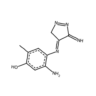 Cc1cc(N=C2CN=NC2=N)c(N)cc1O